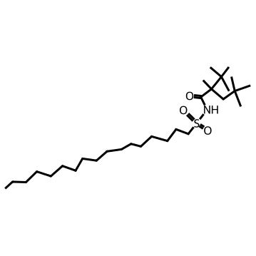 CCCCCCCCCCCCCCCCCS(=O)(=O)NC(=O)C(C)(CC(C)(C)C)C(C)(C)C